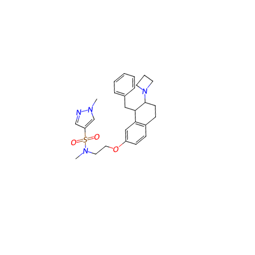 CN(CCOc1ccc2c(c1)C(Cc1ccccc1)C(N1CCC1)CC2)S(=O)(=O)c1cnn(C)c1